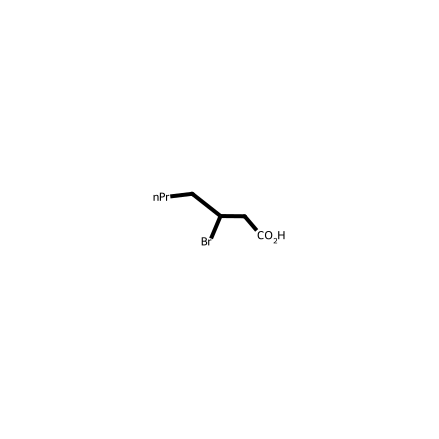 CCCCC(Br)CC(=O)O